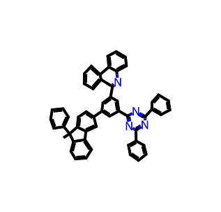 CC1(c2ccccc2)c2ccccc2-c2cc(-c3cc(-c4nc(-c5ccccc5)nc(-c5ccccc5)n4)cc(-c4nc5ccccc5c5ccccc45)c3)ccc21